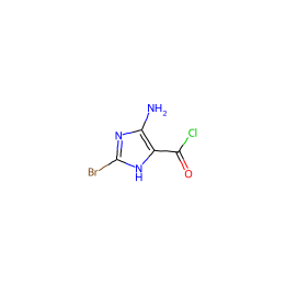 Nc1nc(Br)[nH]c1C(=O)Cl